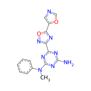 CN(c1ccccc1)c1nc(N)nc(-c2noc(-c3cnco3)n2)n1